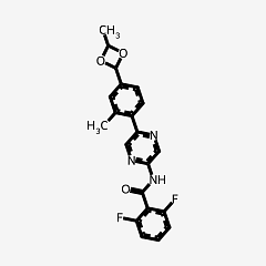 Cc1cc(C2OC(C)O2)ccc1-c1cnc(NC(=O)c2c(F)cccc2F)cn1